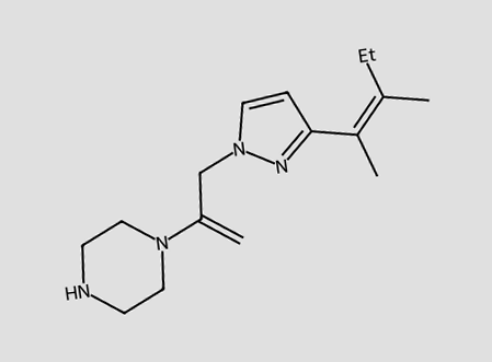 C=C(Cn1ccc(/C(C)=C(/C)CC)n1)N1CCNCC1